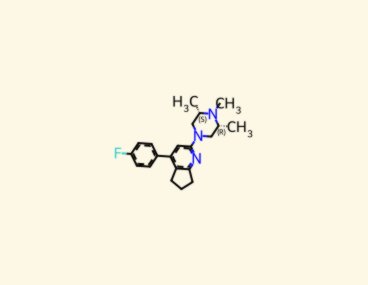 C[C@@H]1CN(c2cc(-c3ccc(F)cc3)c3c(n2)CCC3)C[C@H](C)N1C